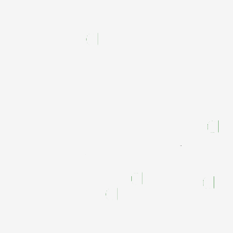 Clc1cccc(Cl)c1CC(Cl)(Cl)Cl